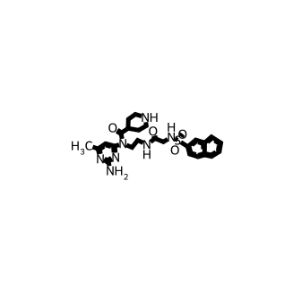 Cc1cc(N(CCNC(=O)CNS(=O)(=O)c2ccc3ccccc3c2)C(=O)C2CCNCC2)nc(N)n1